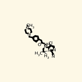 CC(C)CN(NC(=O)Cc1ccc(CN2CCN(C)CC2)cc1)c1nc(C#N)ncc1Cl